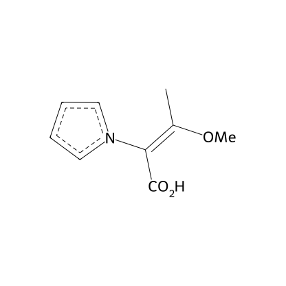 COC(C)=C(C(=O)O)n1cccc1